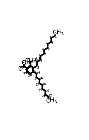 CCCCCCCCCCCCc1c(CCCCCCCCCC)ccc(C(=O)O)c1C(=O)O